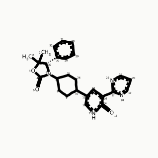 CC1(C)OC(=O)N(C2CCC(c3c[nH]c(=O)c(-c4ncccn4)c3)CC2)[C@H]1c1ccccc1